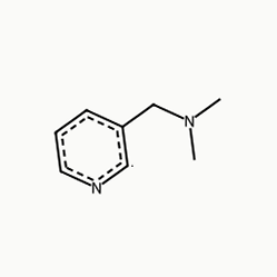 CN(C)Cc1[c]nccc1